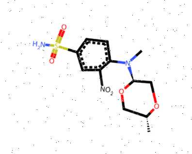 C[C@@H]1CO[C@@H](N(C)c2ccc(S(N)(=O)=O)cc2[N+](=O)[O-])CO1